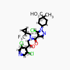 CC1(C(=O)O)CCC(n2ncc(C(=O)N(CC(=O)c3c(Cl)cncc3Cl)CC3(C(F)(F)F)CC3)c2Cl)CC1